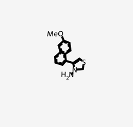 COc1ccc2c(C3=CSCN3N)cccc2c1